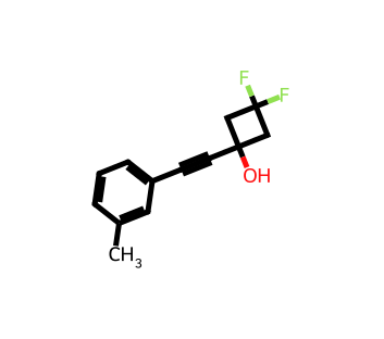 Cc1cccc(C#CC2(O)CC(F)(F)C2)c1